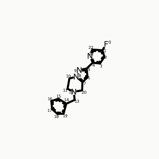 Fc1ccc(-c2cc3n(n2)CCN(Cc2ccccc2)C3)nc1